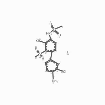 CS(=O)(=O)Nc1ccc(-c2ccc(N)c(Cl)c2)c(S(C)(=O)=O)c1Cl.[Li]